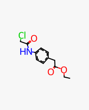 CCOC(=O)Cc1ccc(NC(=O)CCl)cc1